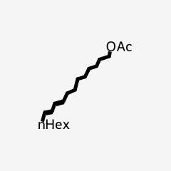 CCCCCCC=CC=CCCCCCCCCOC(C)=O